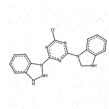 Clc1nc(N2CNc3ccccc32)nc(N2NNc3ccccc32)n1